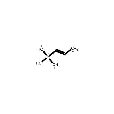 CC=C[PH](O)(O)O